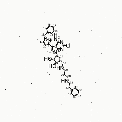 Nc1nc(Cl)nc2c1c(-c1ccn(Cc3ccccc3)n1)cn2[C@@H]1C[C@H](CNCCCNCCc2ccccc2)[C@@H](O)[C@H]1O